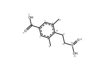 Cc1cc(C(=O)O)cc(C)c1CCS(=O)O